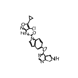 O=C(Nc1noc(C2CC2)c1Cl)n1ccc2cc(Oc3ncnc4c3CNC4)ccc21